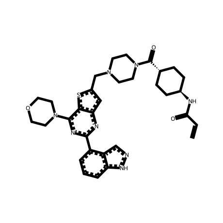 C=CC(=O)N[C@H]1CC[C@H](C(=O)N2CCN(Cc3cc4nc(-c5cccc6[nH]ncc56)nc(N5CCOCC5)c4s3)CC2)CC1